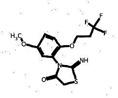 COc1ccc(OCCC(F)(F)F)c(N2C(=N)SCC2=O)c1